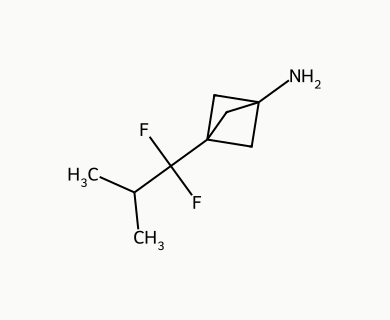 CC(C)C(F)(F)C12CC(N)(C1)C2